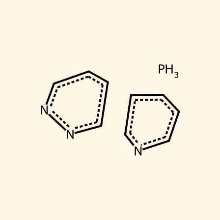 P.c1ccncc1.c1ccnnc1